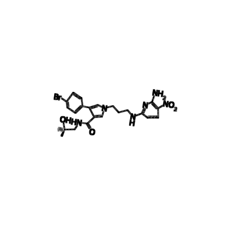 C[C@@H](O)CNC(=O)c1cn(CCCNc2ccc([N+](=O)[O-])c(N)n2)cc1-c1ccc(Br)cc1